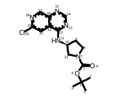 CC(C)(C)OC(=O)N1CC[C@H](Nc2ncnc3cnc(Cl)cc23)C1